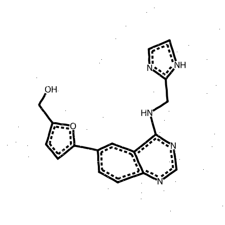 OCc1ccc(-c2ccc3ncnc(NCc4ncc[nH]4)c3c2)o1